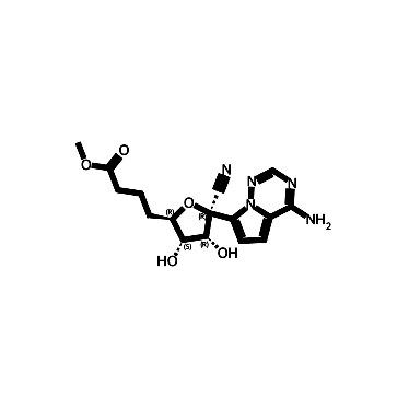 COC(=O)CCC[C@H]1O[C@@](C#N)(c2ccc3c(N)ncnn23)[C@H](O)[C@@H]1O